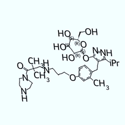 Cc1cc(OCCCNCC(C)(C)C(=O)N2CCNCC2)ccc1Cc1c(O[C@@H]2O[C@H](CO)[C@@H](O)[C@H](O)[C@H]2O)n[nH]c1C(C)C